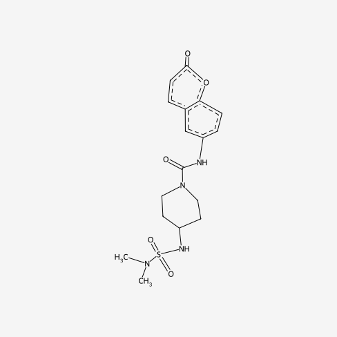 CN(C)S(=O)(=O)NC1CCN(C(=O)Nc2ccc3oc(=O)ccc3c2)CC1